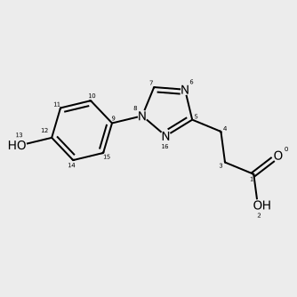 O=C(O)CCc1ncn(-c2ccc(O)cc2)n1